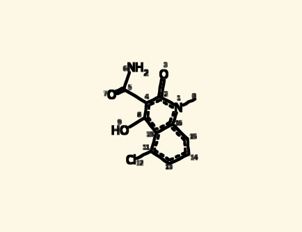 Cn1c(=O)c(C(N)=O)c(O)c2c(Cl)cccc21